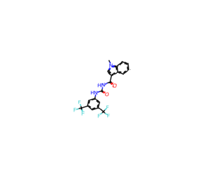 Cn1cc(C(=O)NC(=O)Nc2cc(C(F)(F)F)cc(C(F)(F)F)c2)c2c[c]ccc21